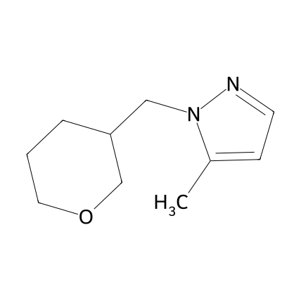 Cc1ccnn1CC1CCCOC1